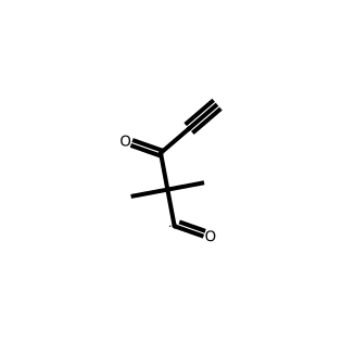 C#CC(=O)C(C)(C)[C]=O